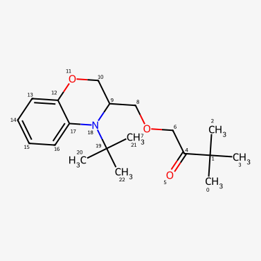 CC(C)(C)C(=O)COCC1COc2ccccc2N1C(C)(C)C